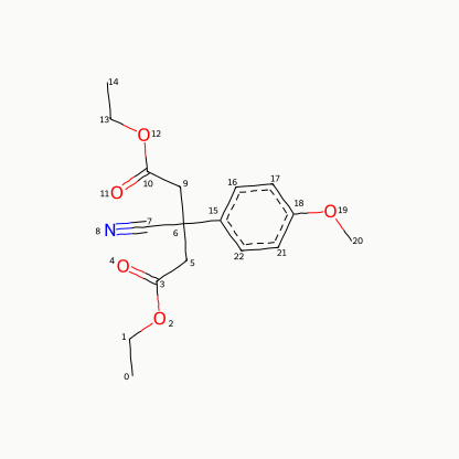 CCOC(=O)CC(C#N)(CC(=O)OCC)c1ccc(OC)cc1